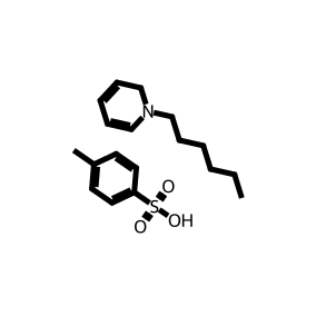 CCCCCCN1C=CC=CC1.Cc1ccc(S(=O)(=O)O)cc1